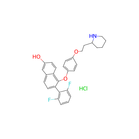 Cl.Oc1ccc2c(Oc3ccc(OCCC4CCCCN4)cc3)c(-c3c(F)cccc3F)ccc2c1